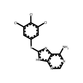 Nc1ncnc2[nH]c(Sc3cc(Cl)c(Cl)c(Cl)c3)nc12